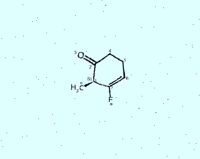 C[C@H]1C(=O)CCC=C1F